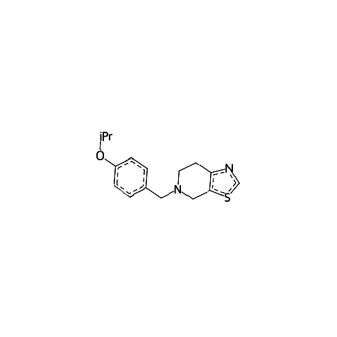 CC(C)Oc1ccc(CN2CCc3ncsc3C2)cc1